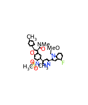 CNC(=O)c1c(-c2ccc(C)cc2)oc2cc(N(C)S(C)(=O)=O)c(-c3cnnc(-c4cc5c(F)cccc5n4CCOC)c3)cc12